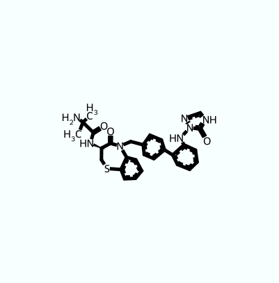 CC(C)(N)C(=O)N[C@@H]1CSc2ccccc2N(Cc2ccc(-c3ccccc3Nn3nc[nH]c3=O)cc2)C1=O